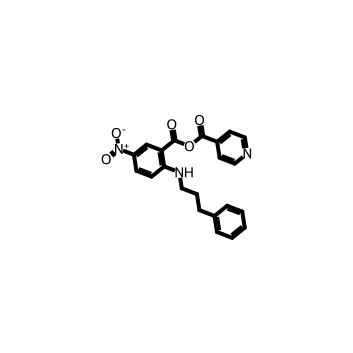 O=C(OC(=O)c1cc([N+](=O)[O-])ccc1NCCCc1ccccc1)c1ccncc1